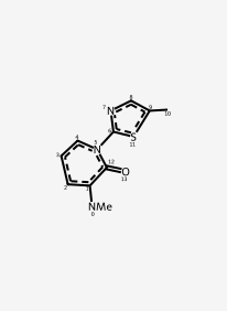 CNc1cccn(-c2ncc(C)s2)c1=O